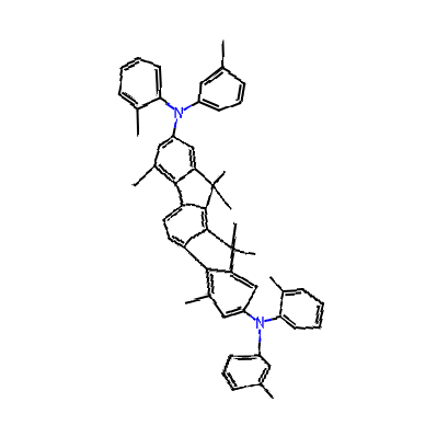 Cc1cccc(N(c2cc(C)c3c(c2)C(C)(C)c2c-3ccc3c2C(C)(C)c2cc(N(c4cccc(C)c4)c4ccccc4C)cc(C)c2-3)c2ccccc2C)c1